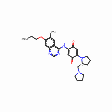 COCCOc1cc2ncnc(NC3=CC(=O)C(N4CCC[C@H]4CN4CCCC4)=CC3=O)c2cc1OC